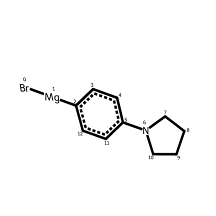 [Br][Mg][c]1ccc(N2CCCC2)cc1